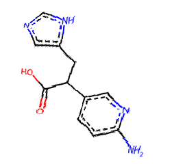 Nc1ccc(C(Cc2cnc[nH]2)C(=O)O)cn1